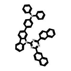 c1ccc(N(c2ccccc2)c2ccc(-c3ccc4c5ccccc5n(-c5nc(-c6ccc7ccccc7c6)nc(-c6ccc7ccccc7c6)n5)c4c3)cc2)cc1